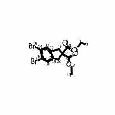 CCOC(=O)C1(C(=O)OCC)Cc2cc(Br)c(Br)cc2C1